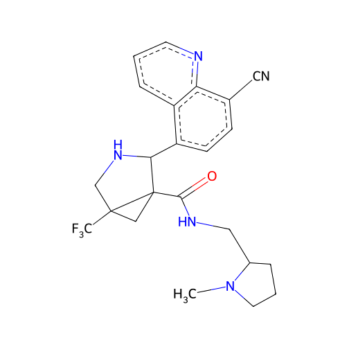 CN1CCCC1CNC(=O)C12CC1(C(F)(F)F)CNC2c1ccc(C#N)c2ncccc12